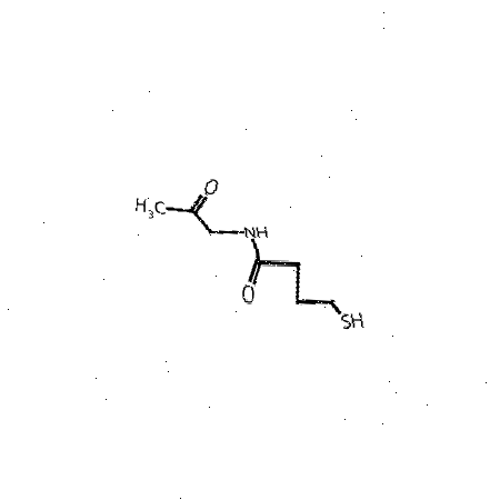 CC(=O)CNC(=O)CCCS